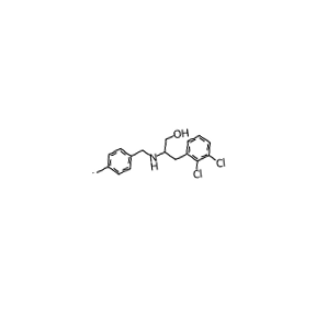 [CH2]c1ccc(CNC(CO)Cc2cccc(Cl)c2Cl)cc1